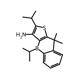 CC(C)B1c2ccccc2C(C)(C)c2sc(C(C)C)c(N)c21